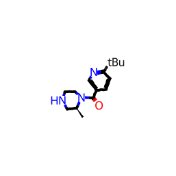 C[C@H]1CNCCN1C(=O)c1ccc(C(C)(C)C)nc1